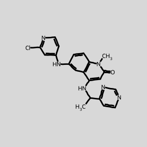 CC(Nc1cc(=O)n(C)c2ccc(Nc3ccnc(Cl)c3)cc12)c1ccncn1